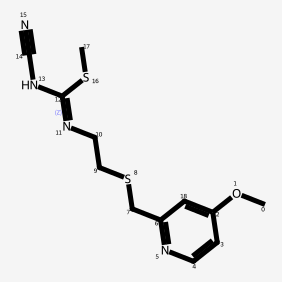 COc1ccnc(CSCC/N=C(/NC#N)SC)c1